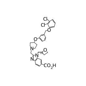 O=C(O)c1ccc2nc(CN3CCC(Oc4cccc(COc5cccc(Cl)c5Cl)c4)CC3)n(C[C@@H]3CCO3)c2c1